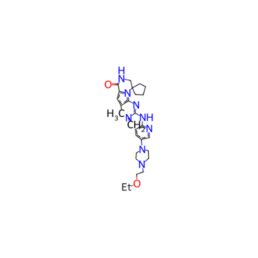 C=N/C(=N\c1c(C)cc2n1C1(CCCC1)CNC2=O)Nc1ccc(N2CCN(CCOCC)CC2)cn1